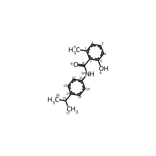 Cc1cccc(O)c1C(=O)Nc1ccc(C(C)C)cc1